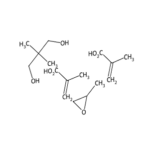 C=C(C)C(=O)O.C=C(C)C(=O)O.CC(C)(CO)CO.CC1CO1